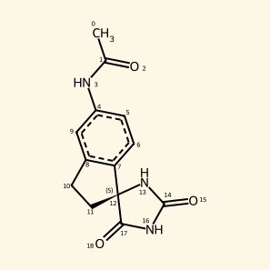 CC(=O)Nc1ccc2c(c1)CC[C@]21NC(=O)NC1=O